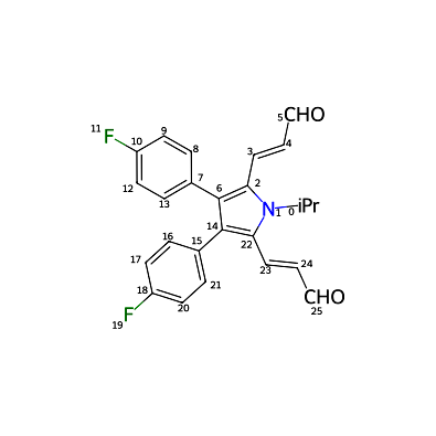 CC(C)n1c(C=CC=O)c(-c2ccc(F)cc2)c(-c2ccc(F)cc2)c1C=CC=O